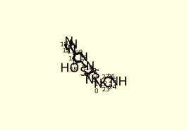 CN(c1nc2sc(-c3ncc(-n4ccnn4)cc3O)nc2s1)C1CCNCC1